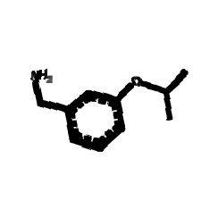 CC(C)Oc1cccc(CN)c1